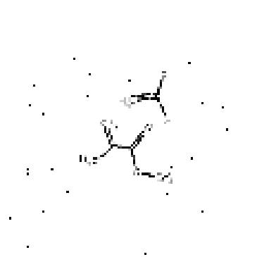 C=C(C)C(=O)OC.C=C(F)F